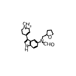 CN1CC=C(c2c[nH]c3ccc(N(C=O)CC4CCCO4)cc23)CC1